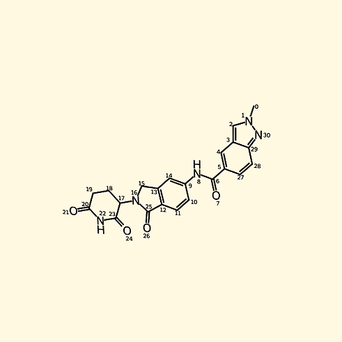 Cn1cc2cc(C(=O)Nc3ccc4c(c3)CN(C3CCC(=O)NC3=O)C4=O)ccc2n1